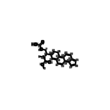 COC(=O)N(C)C(COC(=O)O)C1=CCc2c(ccc3c4c(ccc23)=CC=C4)=C1